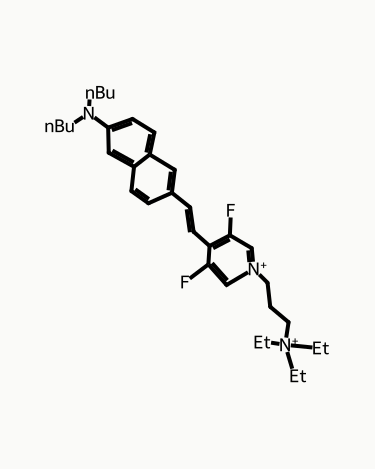 CCCCN(CCCC)c1ccc2cc(/C=C/c3c(F)c[n+](CCC[N+](CC)(CC)CC)cc3F)ccc2c1